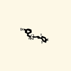 Fc1cc(F)c(/C=C/c2nnc(Cc3cccc(Br)c3)o2)c(F)c1